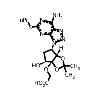 CCCSc1nc(N)c2nnn([C@@H]3C[C@H](O)[C@@]4(OCC(=O)O)OC(C)(C)O[C@@H]34)c2n1